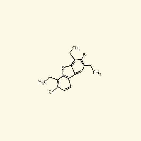 CCc1cc2c(sc3c(CC)c(Cl)ccc32)c(CC)c1Br